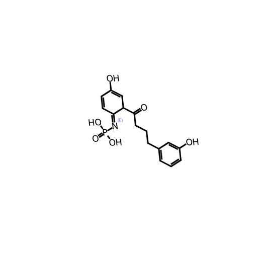 O=C(CCCc1cccc(O)c1)C1C=C(O)C=C/C1=N\P(=O)(O)O